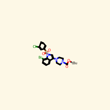 CC(C)(C)OC(=O)N1CCN(c2cn(S(=O)(=O)c3cccc(Cl)c3)c3c(Br)cccc23)CC1